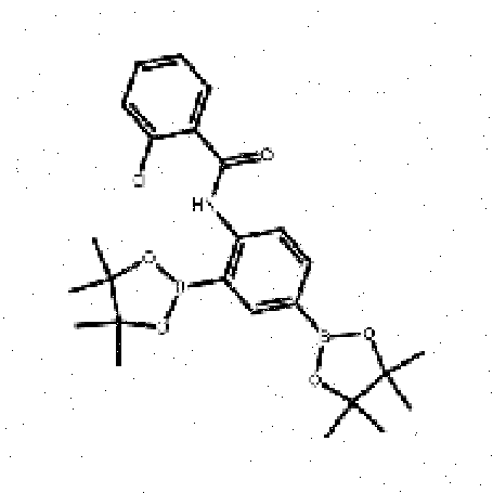 CC1(C)OB(c2ccc(NC(=O)c3ccccc3Cl)c(B3OC(C)(C)C(C)(C)O3)c2)OC1(C)C